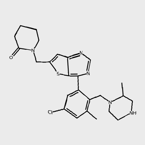 Cc1cc(Cl)cc(-c2ncnc3cc(CN4CCCCC4=O)sc23)c1CN1CCNCC1C